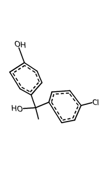 CC(O)(c1ccc(O)cc1)c1ccc(Cl)cc1